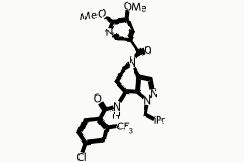 COc1cc(C(=O)N2CCC(NC(=O)c3ccc(Cl)cc3C(F)(F)F)c3c2cnn3CC(C)C)cnc1OC